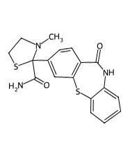 CN1CCSC1(C(N)=O)c1ccc2c(c1)Sc1ccccc1NC2=O